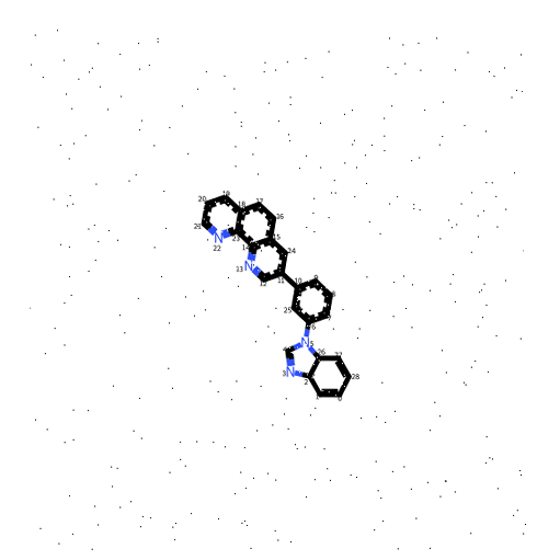 C1=CC2N=CN(c3cccc(-c4cnc5c(ccc6cccnc65)c4)c3)C2C=C1